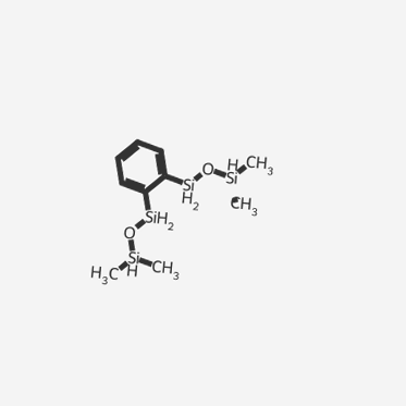 C[SiH](C)O[SiH2]c1ccccc1[SiH2]O[SiH](C)C